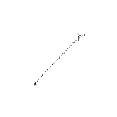 S=C(S)NCCCCCCCCCCCCCCCCCCCCCCCCCCCCCCCCCCCBr